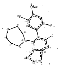 COc1cc(F)c(-c2c(C)nc3ncnn3c2N2CCCCCC2)cc1F